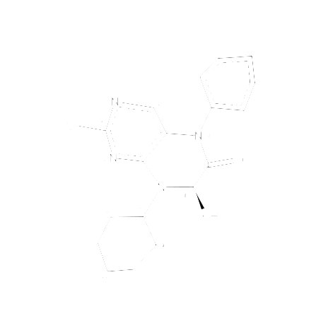 C[C@@H]1C(=O)N(c2ccccc2)c2cnc(Cl)nc2N1C1CCCCC1